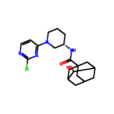 O=C(N[C@H]1CCCN(c2ccnc(Cl)n2)C1)C12CC3CC(C1)C(O)C(C3)C2